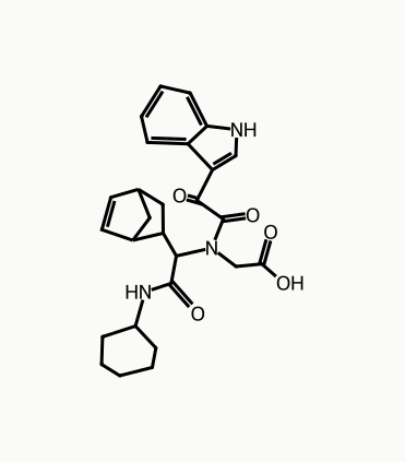 O=C(O)CN(C(=O)C(=O)c1c[nH]c2ccccc12)C(C(=O)NC1CCCCC1)C1CC2C=CC1C2